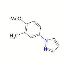 COc1ccc(-n2cccn2)cc1C